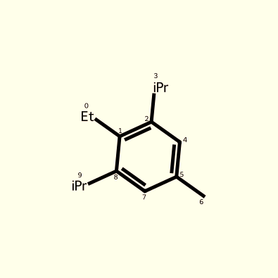 CCc1c(C(C)C)cc(C)cc1C(C)C